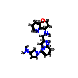 CN(C)C1CCN(c2cccc3nc(CN(C)[C@H]4CCOc5cccnc54)cn23)C1